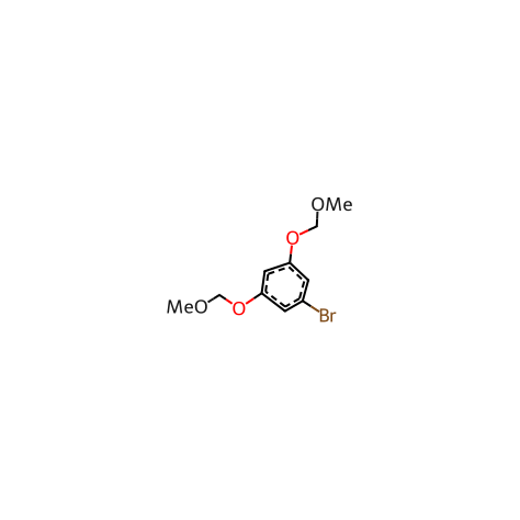 COCOc1cc(Br)cc(OCOC)c1